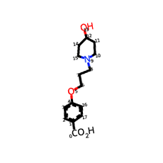 O=C(O)c1ccc(OCCCN2CCC(O)CC2)cc1